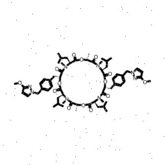 COc1ccn(Cc2ccc(C[C@H]3OC(=O)[C@H](CC(C)C)N(C)C(=O)[C@@H](C)OC(=O)[C@H](CC(C)C)N(C)C(=O)[C@@H](Cc4ccc(Cn5ccc(OC)n5)cc4)OC(=O)[C@H](CC(C)C)N(C)C(=O)[C@@H](C)OC(=O)[C@H](CC(C)C)N(C)C3=O)cc2)n1